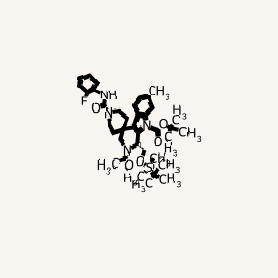 CC(=O)N1CC2(CCN(C(=O)Nc3ccccc3F)CC2)c2c(n(C(=O)OC(C)(C)C)c3cc(C)ccc23)[C@@H]1CO[Si](C)(C)C(C)(C)C